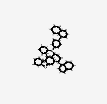 c1ccc(N(c2ccc(-c3cccc4ccccc34)cc2)c2ccc(-c3cccc4ccccc34)cc2)c(-c2cccc3oc4ccccc4c23)c1